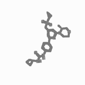 C[C@H]1COCCN1c1cc(CS(=O)(=O)C2CC2)nc(-c2ccc(NC(=O)NC3CCC3)cc2)n1